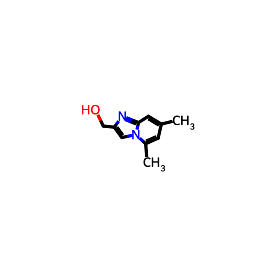 Cc1cc(C)n2cc(CO)nc2c1